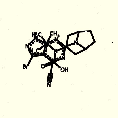 CC(C)(C)N(C(=O)O)C1CC2CCC(C1)N2c1nc(C#N)c2c(Br)n[nH]c2n1